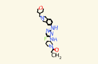 C=CC(=O)N1CCCC(Nc2nc(Nc3ccc4c(c3)CN(CC3CCOCC3)C4)ncc2F)C1